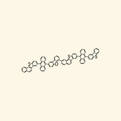 c1ccc2c(c1)ccc1c3cc(-c4c5ccccc5c(-c5ccc6oc7c(-c8ccc9ccc%10c%11cc(-c%12c%13ccccc%13c(-c%13ccc%14sc%15ccccc%15c%14c%13)c%13ccccc%12%13)ccc%11sc%10c9c8)cccc7c6c5)c5ccccc45)ccc3sc21